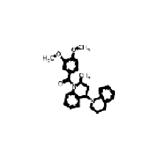 COc1ccc(C(=O)N2c3ccccc3C(N3CCCc4ccccc43)CC2C)cc1OC